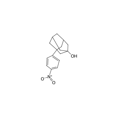 O=[N+]([O-])c1ccc(C23CC4CC(CC(O)(C4)C2)C3)cc1